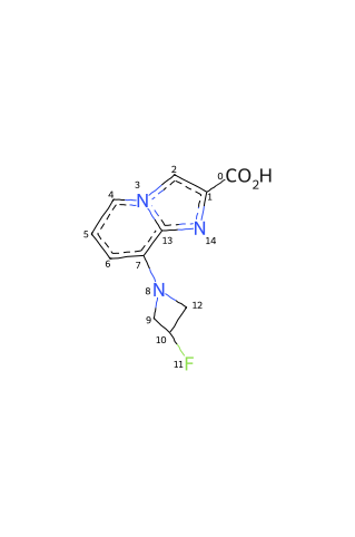 O=C(O)c1cn2cccc(N3CC(F)C3)c2n1